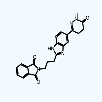 O=C1CCC(c2ccc3[nH]c(CCCN4C(=O)c5ccccc5C4=O)nc3c2)=NN1